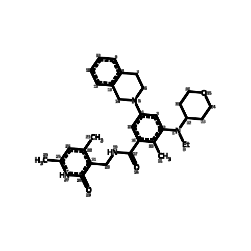 CCN(c1cc(N2CCc3ccccc3C2)cc(C(=O)NCc2c(C)cc(C)[nH]c2=O)c1C)C1CCOCC1